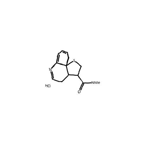 CNC(=O)C1CSC23CC=CC=C2N=CCC13.Cl